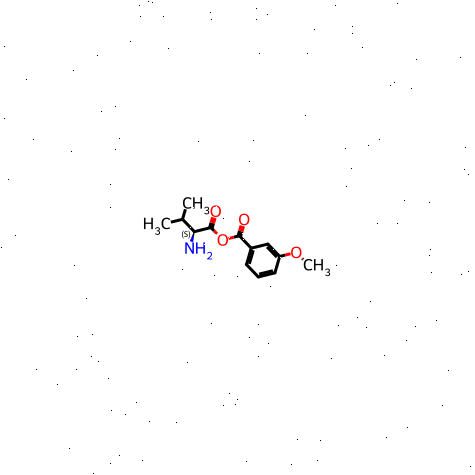 COc1cccc(C(=O)OC(=O)[C@@H](N)C(C)C)c1